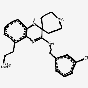 COCCc1cccc2c1N=C(NCc1cccc(Cl)c1)C1(CCNCC1)N2